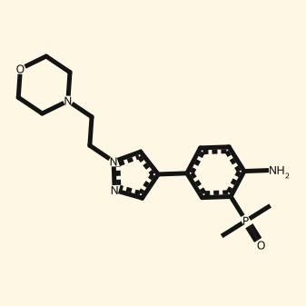 CP(C)(=O)c1cc(-c2cnn(CCN3CCOCC3)c2)ccc1N